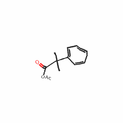 CC(=O)OC(=O)C(C)(C)c1ccccc1